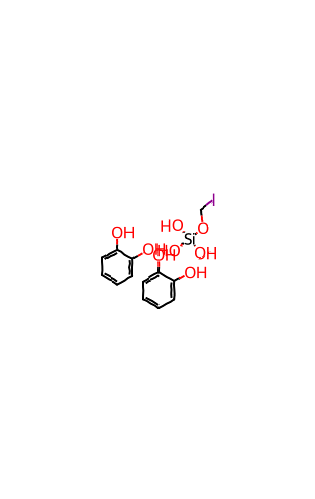 O[Si](O)(O)OCI.Oc1ccccc1O.Oc1ccccc1O